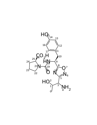 CC(O)C(N)c1noc([C@H](Cc2ccc(O)cc2)NC(=O)N2CCC[C@H]2C(=O)O)n1